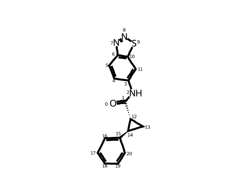 O=C(Nc1ccc2nnsc2c1)[C@@H]1C[C@H]1c1ccccc1